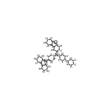 C1=CC(N(c2ccc(-c3ccccc3)cc2)c2ccc3oc4ccccc4c3c2)CC=C1n1c2ccccc2c2ccccc21